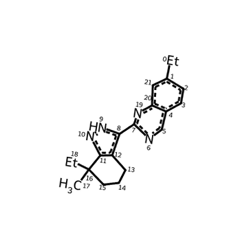 CCc1ccc2cnc(-c3[nH]nc4c3CCCC4(C)CC)nc2c1